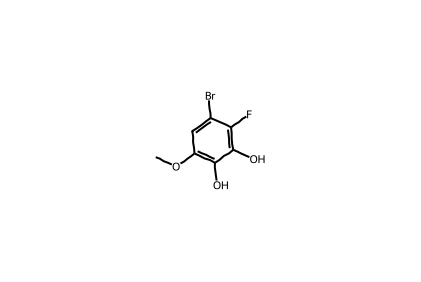 COc1cc(Br)c(F)c(O)c1O